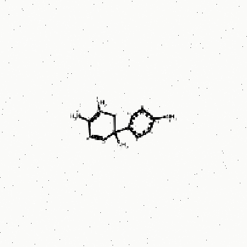 NC1=C(N)CC(N)(c2ccc(N)cc2)C=C1